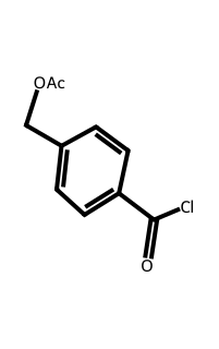 CC(=O)OCc1ccc(C(=O)Cl)cc1